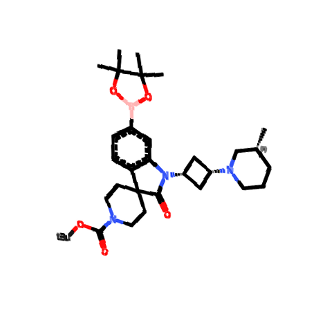 C[C@@H]1CCCN([C@H]2C[C@@H](N3C(=O)C4(CCN(C(=O)OC(C)(C)C)CC4)c4ccc(B5OC(C)(C)C(C)(C)O5)cc43)C2)C1